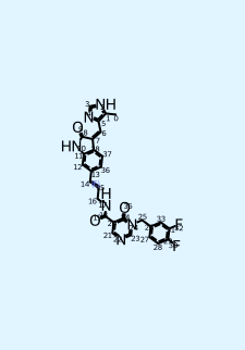 Cc1[nH]cnc1C=C1C(=O)Nc2cc(/C=C/CNC(=O)c3cncn(Cc4ccc(F)c(F)c4)c3=O)ccc21